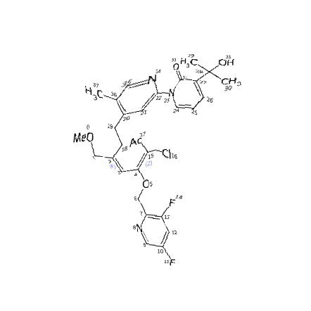 COC/C(=C/C(OCc1ncc(F)cc1F)=C(/Cl)C(C)=O)CCc1cc(-n2cccc(C(C)(C)O)c2=O)ncc1C